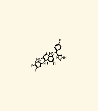 N#Cc1cnc2c(N[C@@H](c3ccc(F)cc3)c3c[nH]nn3)cc(Cl)cc2c1Nc1cnc(F)c(F)c1